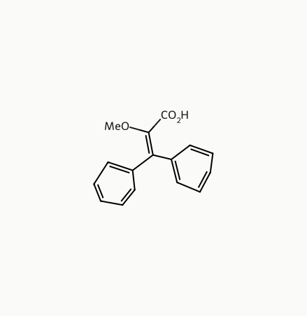 COC(C(=O)O)=C(c1ccccc1)c1ccccc1